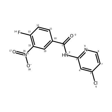 O=C(Nc1cc(Cl)ccn1)c1ccc(F)c([N+](=O)[O-])c1